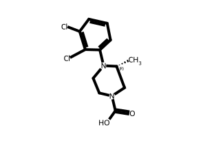 C[C@@H]1CN(C(=O)O)CCN1c1cccc(Cl)c1Cl